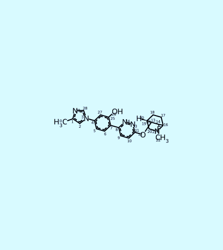 Cc1cn(-c2ccc(-c3ccc(OC4C(F)C5CC[C@H]4CN5C)nn3)c(O)c2)cn1